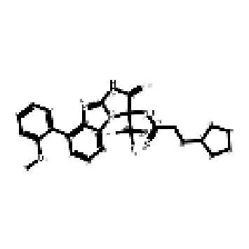 COc1ccccc1-c1cccc2c1nc1n2C(NC(=O)CCC2CCCC2)(C(F)(F)F)C(=O)N1